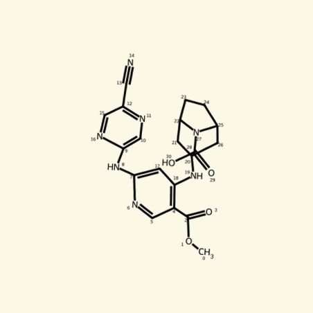 COC(=O)c1cnc(Nc2cnc(C#N)cn2)cc1NC1CC2CCC(C1)N2C(=O)O